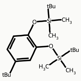 CC(C)(C)c1ccc(O[Si](C)(C)C(C)(C)C)c(O[Si](C)(C)C(C)(C)C)c1